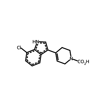 O=C(O)N1CC=C(c2c[nH]c3c(Cl)cccc23)CC1